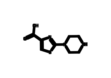 O=C(O)c1csc(N2CCNCC2)n1